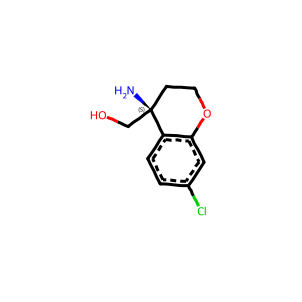 N[C@@]1(CO)CCOc2cc(Cl)ccc21